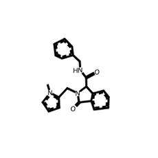 Cn1cccc1CN1C(=O)c2ccccc2C1C(=O)NCc1ccccc1